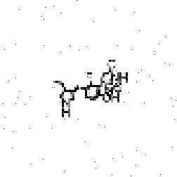 CCC1CNC/C1=C\c1ccc(O)c(N2CC(=O)NS2(=O)=O)c1F